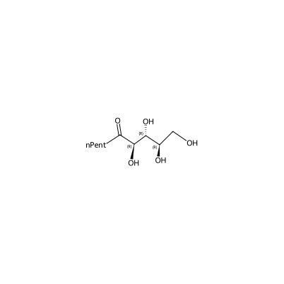 CCCCCC(=O)[C@H](O)[C@H](O)[C@H](O)CO